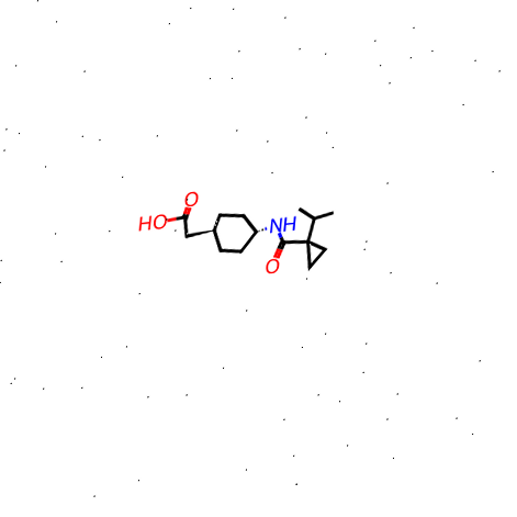 CC(C)C1(C(=O)N[C@H]2CC[C@H](CC(=O)O)CC2)CC1